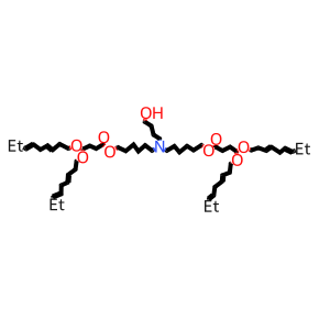 CCC=CCC=CCCOC(CCC(=O)OCCCCCCN(CCCCO)CCCCCCOC(=O)CCC(OCCC=CCC=CCC)OCCC=CC/C=C/CC)OCCC=CC/C=C/CC